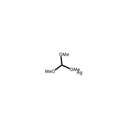 COC(OC)OC.[Ag]